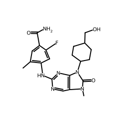 Cc1cc(C(N)=O)c(F)cc1Nc1ncc2c(n1)n(C1CCC(CO)CC1)c(=O)n2C